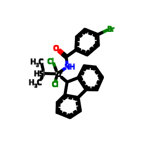 C[SiH](C)[Zr]([Cl])([Cl])([NH]C(=O)c1ccc(Br)cc1)[CH]1c2ccccc2-c2ccccc21